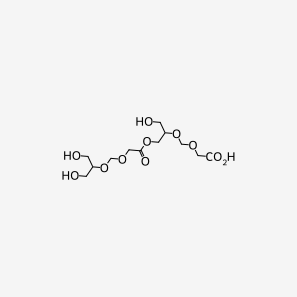 O=C(O)COCOC(CO)COC(=O)COCOC(CO)CO